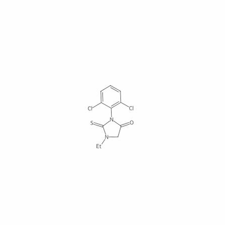 CCN1CC(=O)N(c2c(Cl)cccc2Cl)C1=S